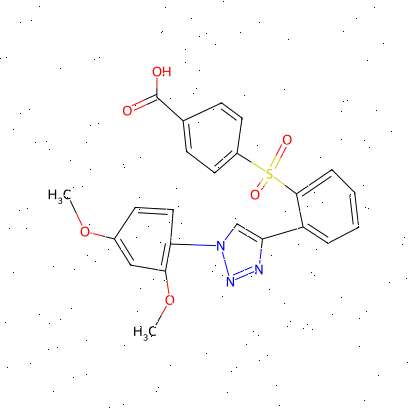 COc1ccc(-n2cc(-c3ccccc3S(=O)(=O)c3ccc(C(=O)O)cc3)nn2)c(OC)c1